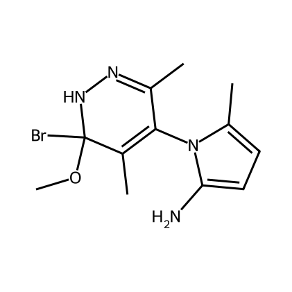 COC1(Br)NN=C(C)C(n2c(C)ccc2N)=C1C